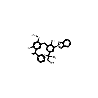 CCCCCCCCOc1cc(O)c(C(=O)c2ccccc2)cc1Cc1cc(C(C)(C)CC(C)(C)C)cc(-n2nc3ccccc3n2)c1O